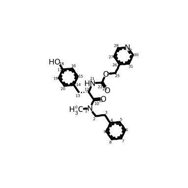 CN(CCc1ccccc1)C(=O)[C@H](Cc1ccc(O)cc1)NC(=O)OCc1ccncc1